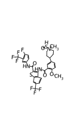 COc1ccc(C2CC[N+](C)([SH]=O)CC2)cc1C(=O)Nc1c(C(=O)Nc2ccc(F)c(C(F)(F)F)c2)sc2cc(C(F)(F)F)ccc12